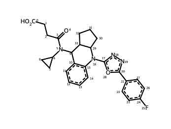 O=C(O)CCC(=O)N(C1CC1)C1c2ccccc2N(c2nnc(-c3ccc(F)cc3)o2)C2CCCC21